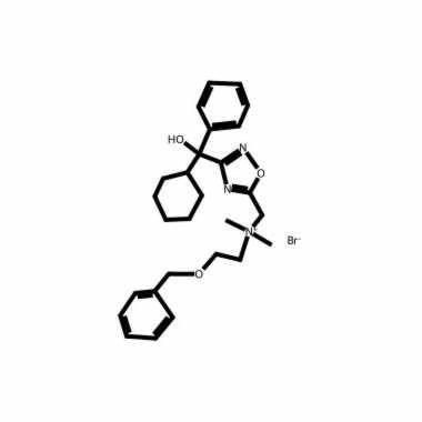 C[N+](C)(CCOCc1ccccc1)Cc1nc(C(O)(c2ccccc2)C2CCCCC2)no1.[Br-]